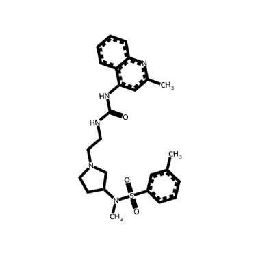 Cc1cccc(S(=O)(=O)N(C)C2CCN(CCNC(=O)Nc3cc(C)nc4ccccc34)C2)c1